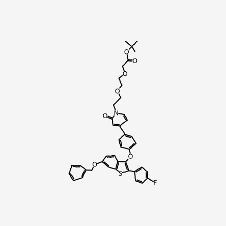 CC(C)(C)OC(=O)COCCOCCn1ccc(-c2ccc(Oc3c(-c4ccc(F)cc4)sc4cc(OCc5ccccc5)ccc34)cc2)cc1=O